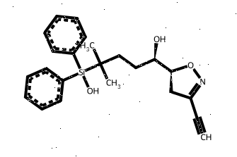 C#CC1=NO[C@H]([C@H](O)CCC(C)(C)[Si](O)(c2ccccc2)c2ccccc2)C1